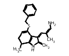 C=c1[nH]c2c(/c1=C/C(C)=C\N)C(SCc1ccccc1)=CCC2C